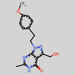 Cc1nc2c(c(CO)nn2CCc2ccc(OC(F)(F)F)cc2)c(=O)[nH]1